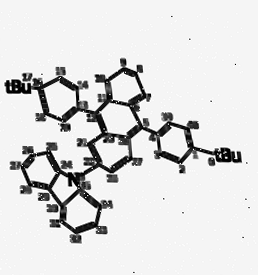 CC(C)(C)c1ccc(-c2c3ccccc3c(-c3ccc(C(C)(C)C)cc3)c3cc(-n4c5ccccc5c5ccccc54)ccc23)cc1